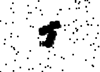 O=C(OC12CC3CC(CC(C3)C1)C2)c1ccc(OC(=O)C23CC4CC(CC(C4)C2)C3)c(OCC(F)(F)OC(F)(F)C(F)(F)OC(F)(F)C(F)(F)S(=O)(=O)O)c1